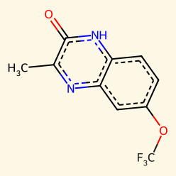 Cc1nc2cc(OC(F)(F)F)ccc2[nH]c1=O